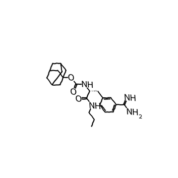 CCCNC(=O)[C@@H](Cc1cccc(C(=N)N)c1)NC(=O)OC12CC3CC(CC(C3)C1)C2